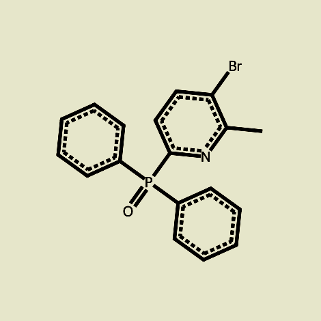 Cc1nc(P(=O)(c2ccccc2)c2ccccc2)ccc1Br